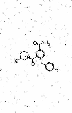 NC(=O)c1ccc(Cc2ccc(Cl)cc2)c(C(=O)N2CCCC(O)C2)c1